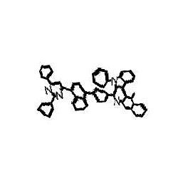 CC1c2c(nc(-c3ccc(-c4ccc(-c5cc(-c6ccccc6)nc(-c6ccccc6)n5)c5ccccc45)cc3)c3c2c2ccccc2n3-c2ccccc2)C=C2C=CC=CC21